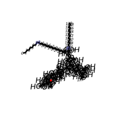 CCCCCCCC/C=C\CCCCCCCCCCCCCCCC(=O)N[C@@H](CO[C@@H]1OC(CO)[C@@H](O[C@@H]2OC(CO[C@@H]3OC(CO)[C@@H](O[C@@H]4OC(CO)[C@H](O)[C@H](O[C@]5(C(=O)O)CC(O)[C@@H](NC(C)=O)C([C@H](O)[C@H](O)CO)O5)C4O)[C@H](O)C3NC(C)=O)[C@H](O)[C@H](O[C@H]3OC(CO)[C@H](O)[C@H](O[C@@H]4OC(CO)[C@H](O)[C@H](O)C4NC(C)=O)C3O)C2O)[C@H](O)C1O)[C@H](O)/C=C/CCCCCCCCCCCCC